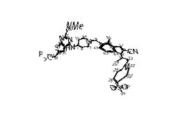 CNc1nc(NC2CCN(Cc3ccc4c(c3C)C=C(C#N)C4C(C)CN3CCC(S(C)(=O)=O)CC3)CC2)c2cc(CC(F)(F)F)sc2n1